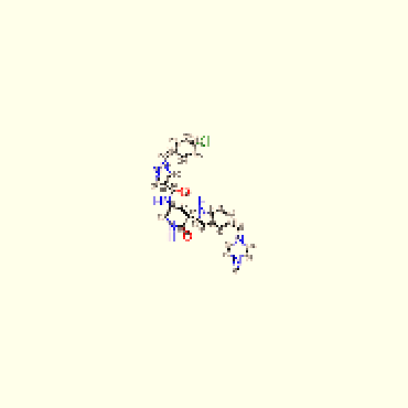 CN1CCN(Cc2ccc3[nH]c(-c4cc(NC(=O)c5cnn(Cc6ccc(Cl)cc6)c5)c[nH]c4=O)cc3c2)CC1